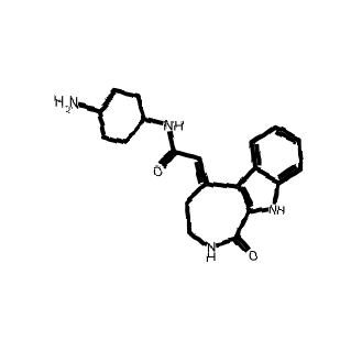 NC1CCC(NC(=O)C=C2CCNC(=O)c3[nH]c4ccccc4c32)CC1